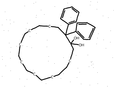 OC1(O)CCCCCCCCCCCCCCCCC1(c1ccccc1)c1ccccc1